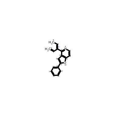 C=C/C(=C\C)c1nccc2oc(-c3ccccc3)cc12